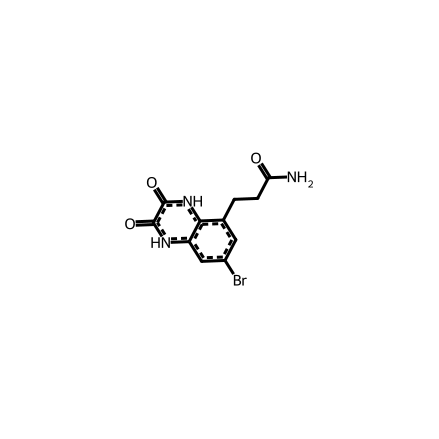 NC(=O)CCc1cc(Br)cc2[nH]c(=O)c(=O)[nH]c12